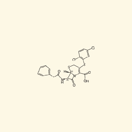 O=C(Cc1ccccc1)N[C@@H]1C(=O)N2C(C(=O)O)=C(Sc3cc(Cl)ccc3Cl)CS[C@@H]12